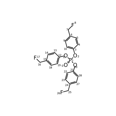 O=P(Oc1ccc(CF)cc1)(Oc1ccc(CF)cc1)Oc1ccc(CF)cc1